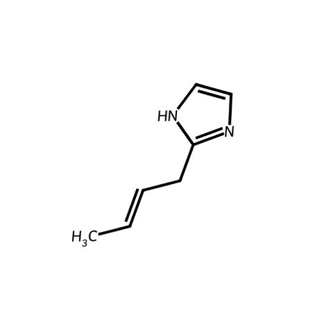 CC=CCc1ncc[nH]1